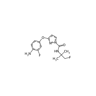 CC(C)(CF)NC(=O)n1ccc(Oc2ccc(N)c(F)c2)n1